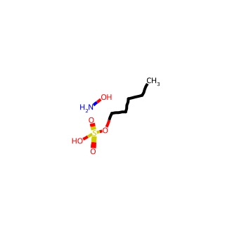 CCCCCOS(=O)(=O)O.NO